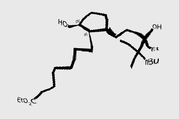 CCCCC(C)(C)C(O)(CC)CC=C1CC[C@H](O)[C@@H]1CCCCCCC(=O)OCC